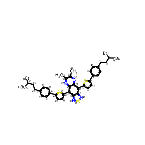 CCCCC(CC)CCc1ccc(-c2ccc(-c3c4nsnc4c(-c4ccc(-c5ccc(CCC(CC)CCCC)cc5)s4)c4nc(C)c(C)nc34)s2)cc1